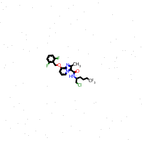 Cc1nc2c(OCc3c(F)cccc3F)cccn2c1C(=O)NC(CCl)CCCC(F)(F)F